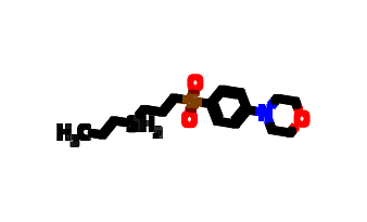 CCC[SiH2]CCCS(=O)(=O)c1ccc(N2CCOCC2)cc1